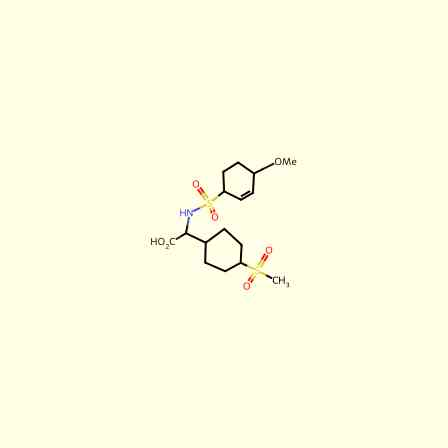 COC1C=CC(S(=O)(=O)NC(C(=O)O)C2CCC(S(C)(=O)=O)CC2)CC1